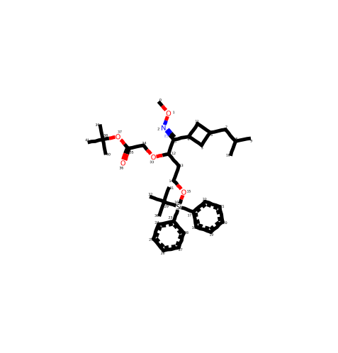 CO/N=C(\C1CC(CC(C)C)C1)C(CCO[Si](c1ccccc1)(c1ccccc1)C(C)(C)C)OCC(=O)OC(C)(C)C